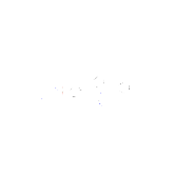 COc1cc(C(C)(C)C2CN=C(SCc3c(F)cc(S(=O)(=O)N4CCCC([N+](C)(C)C)C4)cc3Cl)N2c2ccc(F)cc2)ccc1F